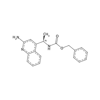 C[C@@H](NC(=O)OCc1ccccc1)c1cc(N)nc2ccccc12